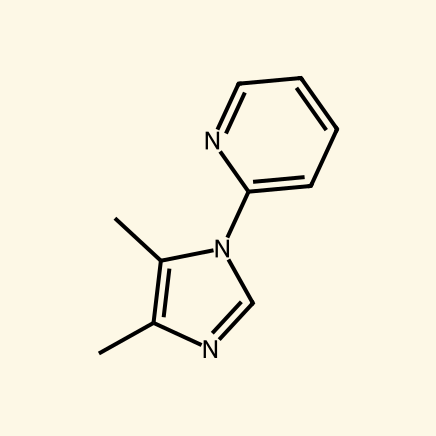 Cc1ncn(-c2ccccn2)c1C